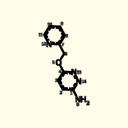 Nc1ccc(OCc2ccccn2)nn1